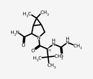 CNC(=S)N[C@H](C(=O)N1CC2C(C1C(N)=O)C2(C)C)C(C)(C)C